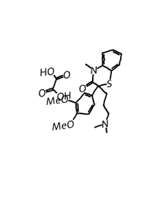 COc1ccc(C2(CCCN(C)C)Sc3ccccc3N(C)C2=O)cc1OC.O=C(O)C(=O)O